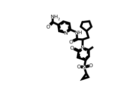 Cc1cc(S(=O)(=O)C2CC2)cc(=O)n1C(CC1CCCC1)C(=O)Nc1ccc(C(N)=O)cn1